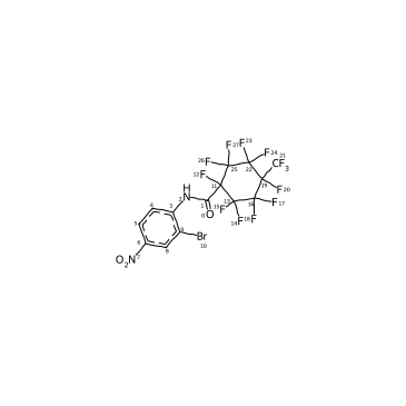 O=C(Nc1ccc([N+](=O)[O-])cc1Br)C1(F)C(F)(F)C(F)(F)C(F)(C(F)(F)F)C(F)(F)C1(F)F